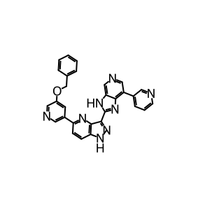 c1ccc(COc2cncc(-c3ccc4[nH]nc(-c5nc6c(-c7cccnc7)cncc6[nH]5)c4n3)c2)cc1